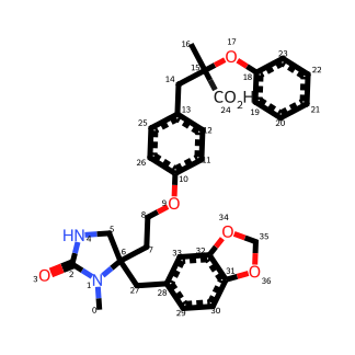 CN1C(=O)NCC1(CCOc1ccc(CC(C)(Oc2ccccc2)C(=O)O)cc1)Cc1ccc2c(c1)OCO2